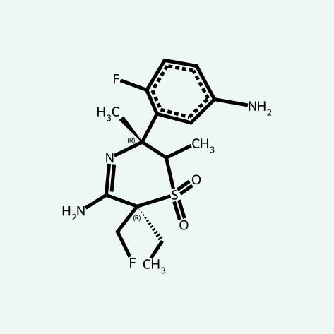 CC[C@]1(CF)C(N)=N[C@](C)(c2cc(N)ccc2F)C(C)S1(=O)=O